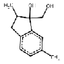 Cc1ccc2c(c1)C(O)(CO)C(C)C2